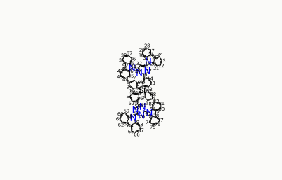 c1ccc([Si](c2ccccc2)(c2cccc(-c3nc(-n4c5ccccc5c5ccccc54)cc(-n4c5ccccc5c5ccccc54)n3)c2)c2cccc(-c3nc(-n4c5ccccc5c5ccccc54)nc(-n4c5ccccc5c5ccccc54)n3)c2)cc1